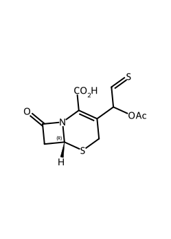 CC(=O)OC(C=S)C1=C(C(=O)O)N2C(=O)C[C@H]2SC1